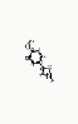 COc1ccc(C2CN(C)C2)cc1